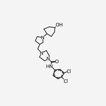 O=C(Nc1ccc(Cl)c(Cl)c1)N1CCN(CC2CCN(C3CCC(O)CC3)C2)CC1